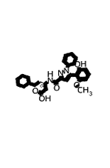 COc1cccc(O)c1-c1cc(C(=O)N[C@@H](CCC2CCCCC2)CC(=O)O)nn1C1C=CCCC1